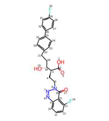 O=C(O)[C@@H](CCn1nnc2cccc(F)c2c1=O)[C@H](O)CCc1ccc(-c2ccc(F)cc2)cc1